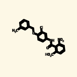 Cc1cccc(COc2ccc(NC(=O)c3c(C(=O)O)cccc3[N+](=O)[O-])cc2Cl)c1